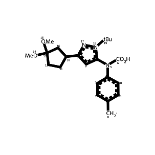 [CH2]c1ccc(N(C(=O)O)c2cc(C3CCC(OC)(OC)C3)nn2C(C)(C)C)cc1